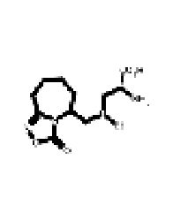 CCN(CC1CCCCc2noc(=O)n21)C[C@H](N)C(=O)O